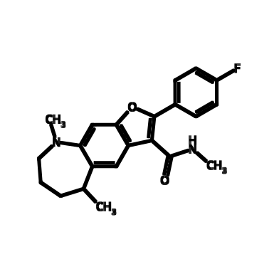 CNC(=O)c1c(-c2ccc(F)cc2)oc2cc3c(cc12)C(C)CCCN3C